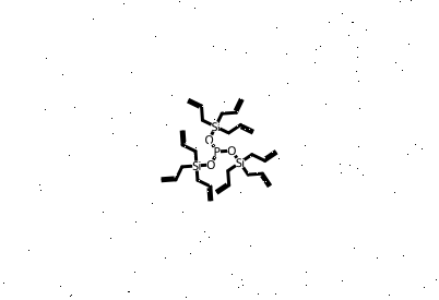 C=CC[Si](CC=C)(CC=C)OP(O[Si](CC=C)(CC=C)CC=C)O[Si](CC=C)(CC=C)CC=C